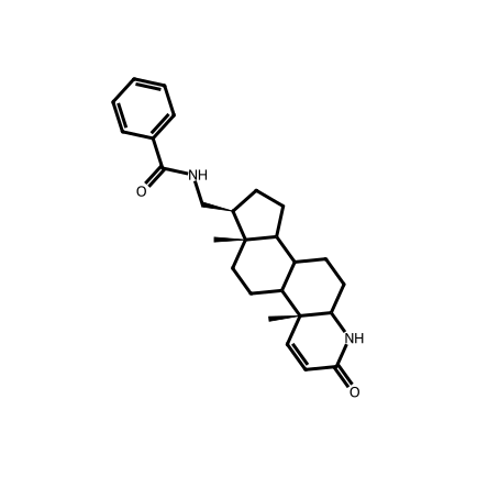 C[C@]12C=CC(=O)NC1CCC1C2CC[C@@]2(C)C1CC[C@@H]2CNC(=O)c1ccccc1